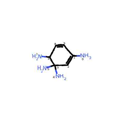 NC1=CC(N)(N)C(N)C=C1